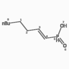 CCCCCC/C=C/[PH](=O)O